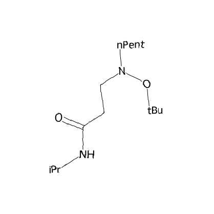 CCCCCN(CCC(=O)NC(C)C)OC(C)(C)C